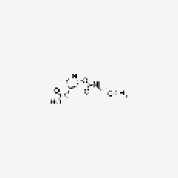 COCCNC(=O)Oc1cc(OC(=O)O)ccn1